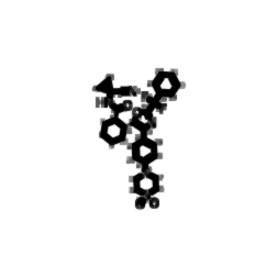 N#CC1(NC(=O)[C@@H]2CCCC[C@H]2c2oc(C(F)(F)c3ccccc3)nc2-c2ccc(N3CCS(=O)(=O)CC3)cc2)CC1